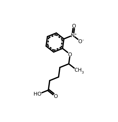 CC(CCCC(=O)O)Oc1ccccc1[N+](=O)[O-]